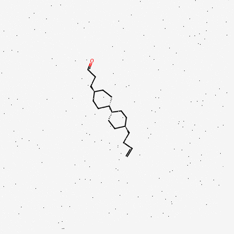 C=CCC[C@H]1CC[C@H]([C@H]2CC[C@H](CCC=O)CC2)CC1